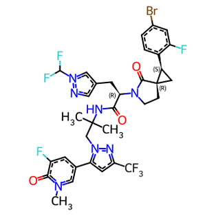 Cn1cc(-c2cc(C(F)(F)F)nn2CC(C)(C)NC(=O)[C@@H](Cc2cnn(C(F)F)c2)N2CC[C@@]3(C[C@@H]3c3ccc(Br)cc3F)C2=O)cc(F)c1=O